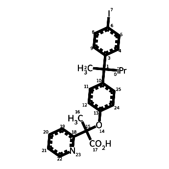 CC(C)C(C)(c1ccc(I)cc1)c1ccc(OC(C)(C(=O)O)c2ccccn2)cc1